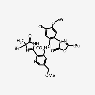 CC(C)Oc1cc(-n2nc(C(C)(C)C)oc2=O)c(Cl)cc1Cl.COCc1cnc(C2=NC(C)(C(C)C)C(=O)N2)c(C(=O)O)c1